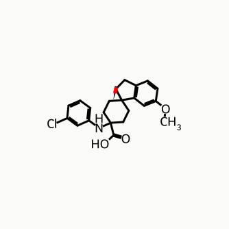 COc1ccc2c(c1)C1(CCC(Nc3cccc(Cl)c3)(C(=O)O)CC1)C1(CCCC1)C2